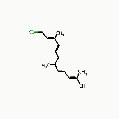 CC(C)=CCCC(C)CC=CC(C)=CCCl